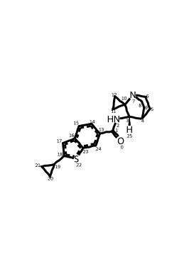 O=C(N[C@H]1C2CCN(CC2)C12CC2)c1ccc2cc(C3CC3)sc2c1